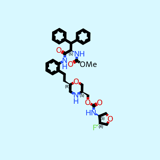 COC(=O)N[C@H](C(=O)Nc1ccccc1CC[C@@H]1CN[C@H](COC(=O)N[C@H]2COC[C@@H]2F)CO1)C(c1ccccc1)c1ccccc1